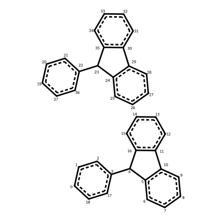 c1ccc(C2c3ccccc3-c3ccccc32)cc1.c1ccc(C2c3ccccc3-c3ccccc32)cc1